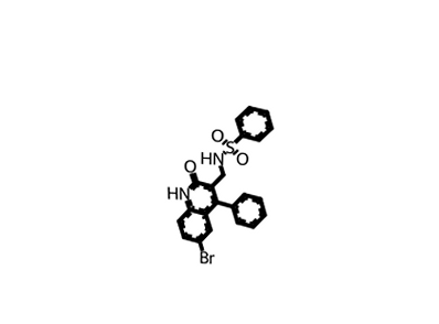 O=c1[nH]c2ccc(Br)cc2c(-c2ccccc2)c1CNS(=O)(=O)c1ccccc1